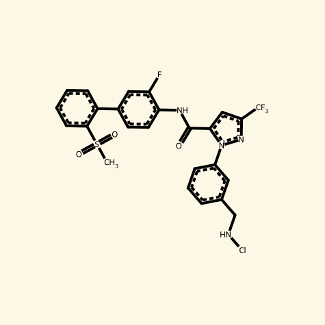 CS(=O)(=O)c1ccccc1-c1ccc(NC(=O)c2cc(C(F)(F)F)nn2-c2cccc(CNCl)c2)c(F)c1